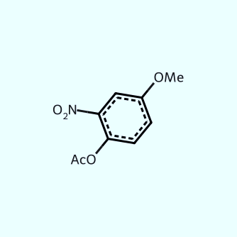 COc1ccc(OC(C)=O)c([N+](=O)[O-])c1